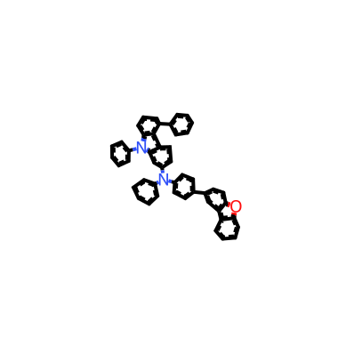 c1ccc(-c2cccc3c2c2ccc(N(c4ccccc4)c4ccc(-c5ccc6oc7ccccc7c6c5)cc4)cc2n3-c2ccccc2)cc1